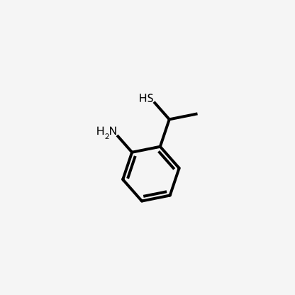 CC(S)c1ccccc1N